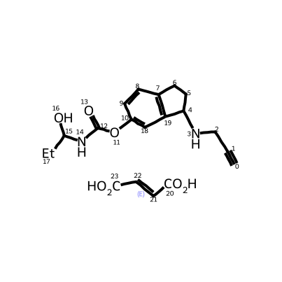 C#CCNC1CCc2ccc(OC(=O)NC(O)CC)cc21.O=C(O)/C=C/C(=O)O